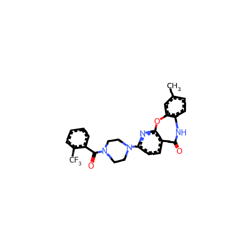 Cc1ccc2c(c1)Oc1nc(N3CCN(C(=O)c4ccccc4C(F)(F)F)CC3)ccc1C(=O)N2